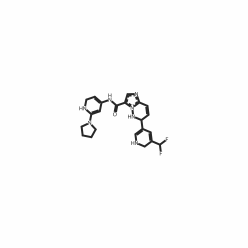 O=C(NC1=CCNC(N2CCCC2)=C1)c1cnc2n1NC(C1=CNCC(C(F)F)=C1)C=C2